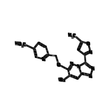 Cc1cc(-c2nnc3cc(C(C)(C)C)c(OCc4ccc(C(=O)O)cn4)nn23)no1